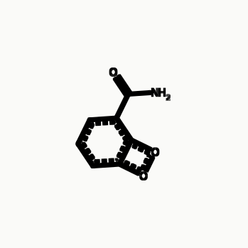 NC(=O)c1cccc2ooc12